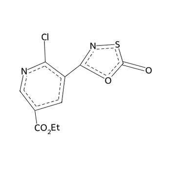 CCOC(=O)c1cnc(Cl)c(-c2nsc(=O)o2)c1